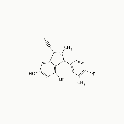 Cc1cc(-n2c(C)c(C#N)c3cc(O)cc(Br)c32)ccc1F